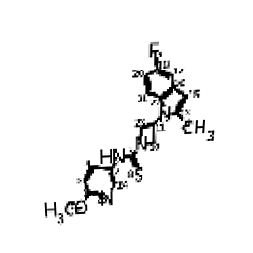 COc1ccc(NC(=S)N2CC(n3c(C)cc4cc(F)ccc43)C2)cn1